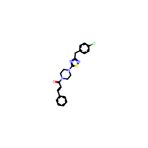 O=C(/C=C/c1ccccc1)N1CCN(c2nc(Cc3ccc(Cl)cc3)ns2)CC1